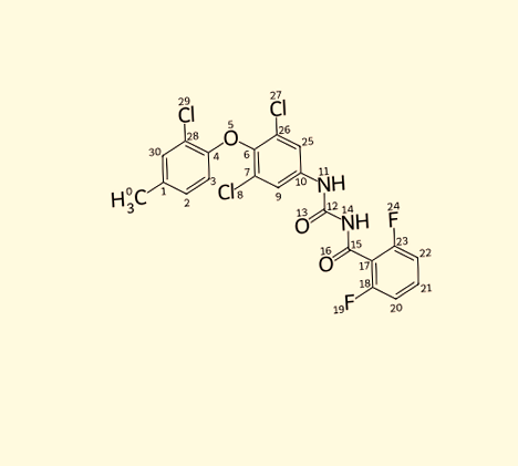 Cc1ccc(Oc2c(Cl)cc(NC(=O)NC(=O)c3c(F)cccc3F)cc2Cl)c(Cl)c1